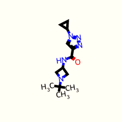 CC(C)(C)N1CC(NC(=O)c2cn(C3CC3)nn2)C1